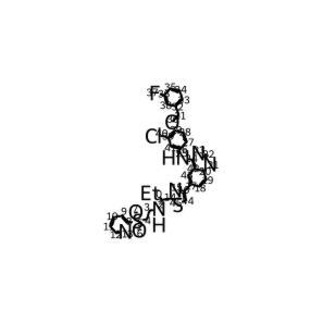 CCC(NCCS(=O)(=O)c1ccccn1)c1nc(-c2ccc3ncnc(Nc4ccc(OCc5cccc(F)c5)c(Cl)c4)c3c2)cs1